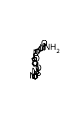 NC(=O)N1CC2CN(Cc3cc4ccc(Oc5nc6ncccc6s5)cc4o3)CC2C1